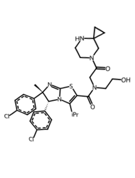 CC(C)C1=C(C(=O)N(CCO)CC(=O)N2CCNC3(CC3)C2)SC2=N[C@@](C)(c3ccc(Cl)cc3)[C@@H](c3ccc(Cl)cc3)N21